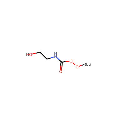 CC(C)(C)OOC(=O)NCCO